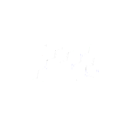 Cc1cc(F)c(Nc2nc(Br)cc3ncn(C(C)C)c23)cc1C(=O)NCC(F)F